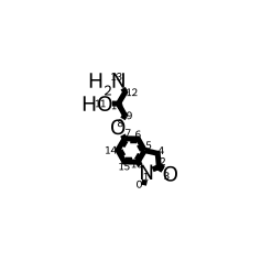 CN1C(=O)Cc2cc(OCC(O)CN)ccc21